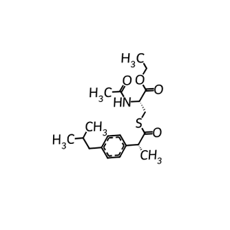 CCOC(=O)[C@H](CSC(=O)[C@H](C)c1ccc(CC(C)C)cc1)NC(C)=O